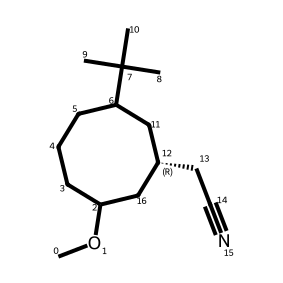 COC1CCCC(C(C)(C)C)C[C@H](CC#N)C1